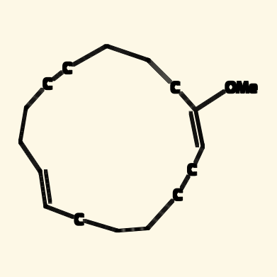 CO/C1=C/CCCCC/C=C/CCCCCCC1